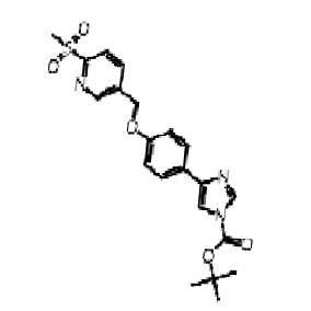 CC(C)(C)OC(=O)n1cnc(-c2ccc(OCc3ccc(S(C)(=O)=O)nc3)cc2)c1